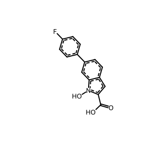 O=C(O)c1cc2ccc(-c3ccc(F)cc3)cc2n1O